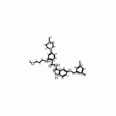 COCCCNc1cc(N2CCN(C)CC2)ccc1C(=O)Nc1n[nH]c2ccc(OCc3cc(F)cc(F)c3)cc12